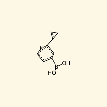 OB(O)c1ccnc(C2=CC2)c1